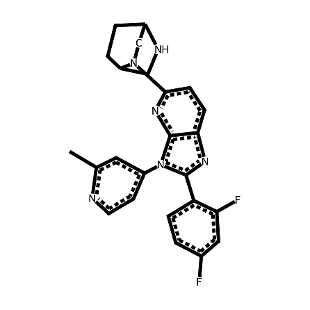 Cc1cc(-n2c(-c3ccc(F)cc3F)nc3ccc(N4CC5CCC4CN5)nc32)ccn1